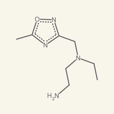 CCN(CCN)Cc1noc(C)n1